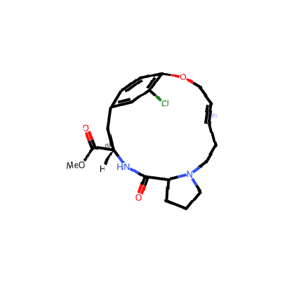 COC(=O)[C@@H]1Cc2ccc(c(Cl)c2)OC/C=C/CCN2CCCC2C(=O)N1